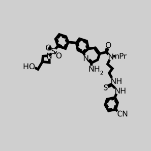 CCCN(CCCNC(=S)Nc1cccc(C#N)c1)C(=O)C1=Cc2ccc(-c3cccc(S(=O)(=O)N4CC(CO)C4)c3)cc2N=C(N)C1